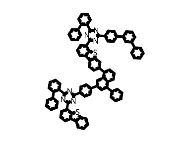 c1ccc(-c2cccc(-c3ccc(-c4nc(-c5ccccc5-c5ccccc5)nc(-c5cccc6c5sc5cc(-c7cccc8c(-c9ccccc9)cc(-c9ccc(-c%10nc(-c%11ccccc%11-c%11ccccc%11)nc(-c%11cccc%12c%11sc%11ccccc%11%12)n%10)cc9)cc78)ccc56)n4)cc3)c2)cc1